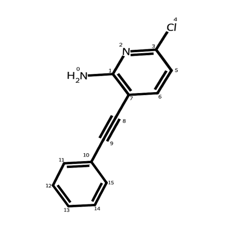 Nc1nc(Cl)ccc1C#Cc1ccccc1